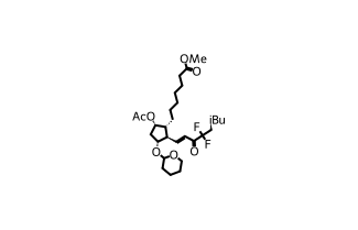 CC[C@H](C)CC(F)(F)C(=O)C=C[C@@H]1[C@@H](CCCCCCC(=O)OC)[C@@H](OC(C)=O)C[C@H]1OC1CCCCO1